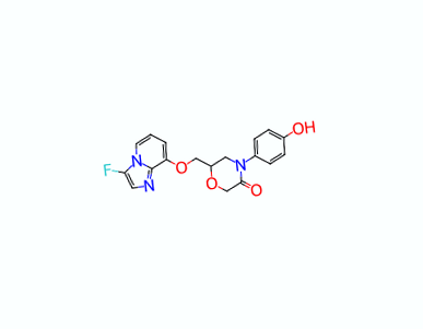 O=C1COC(COc2cccn3c(F)cnc23)CN1c1ccc(O)cc1